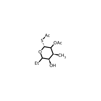 CCC1O[C@H](SC(C)=O)C(OC(C)=O)[C@@H](C)[C@H]1O